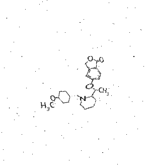 CO[C@H]1CC[C@H](CN2CCCCC2C(C)Oc2ccc3c(c2)COC3=O)CC1